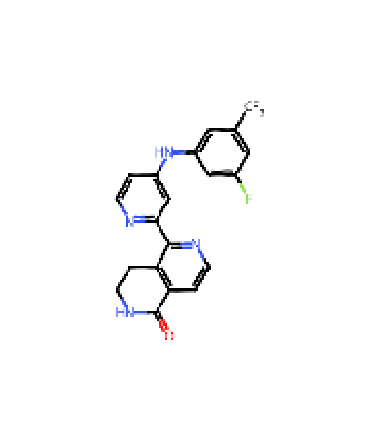 O=C1NCCc2c1ccnc2-c1cc(Nc2cc(F)cc(C(F)(F)F)c2)ccn1